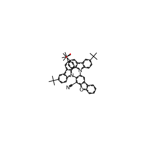 CC(C)(C)c1ccc2c(c1)c1cc(C(C)(C)C)ccc1n2-c1cc2c(oc3ccccc32)c(C#N)c1-n1c2ccc(C(C)(C)C)cc2c2cc(C(C)(C)C)ccc21